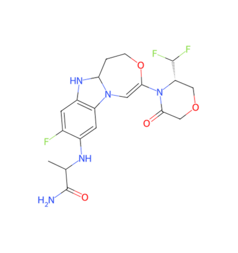 CC(Nc1cc2c(cc1F)NC1CCOC(N3C(=O)COC[C@H]3C(F)F)=CN21)C(N)=O